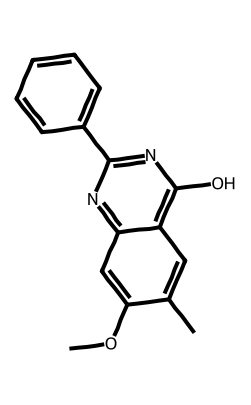 COc1cc2nc(-c3ccccc3)nc(O)c2cc1C